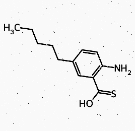 CCCCCc1ccc(N)c(C(O)=S)c1